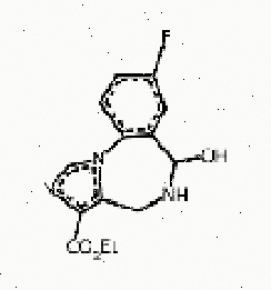 CCOC(=O)c1ncn2c1CNC(O)c1cc(F)ccc1-2